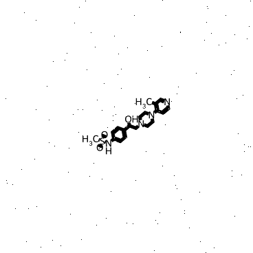 Cc1cnccc1N1CCN(CC(O)c2ccc(NS(C)(=O)=O)cc2)CC1